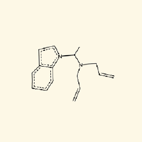 C=CCN(CC=C)C(C)n1ccc2ccccc21